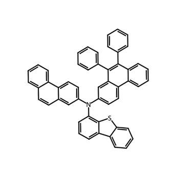 c1ccc(-c2c(-c3ccccc3)c3cc(N(c4ccc5c(ccc6ccccc65)c4)c4cccc5c4sc4ccccc45)ccc3c3ccccc23)cc1